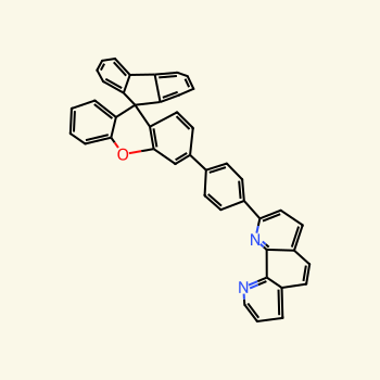 c1ccc2c(c1)Oc1cc(-c3ccc(-c4ccc5ccc6cccnc6c5n4)cc3)ccc1C21c2ccccc2-c2ccccc21